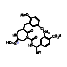 CCCC(NC(=O)N1C/C(=N/O)NCC(Cc2cc(Cl)ccc2OC)C1=O)c1ccc(C(=O)O)c(N)c1